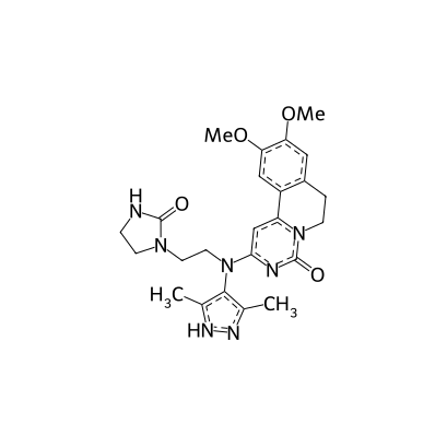 COc1cc2c(cc1OC)-c1cc(N(CCN3CCNC3=O)c3c(C)n[nH]c3C)nc(=O)n1CC2